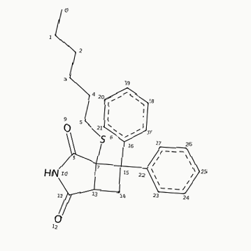 CCCCCCSC12C(=O)NC(=O)C1CC2(c1ccccc1)c1ccccc1